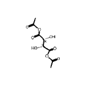 CC(=O)OC(=O)[C@H](O)[C@@H](O)C(=O)OC(C)=O